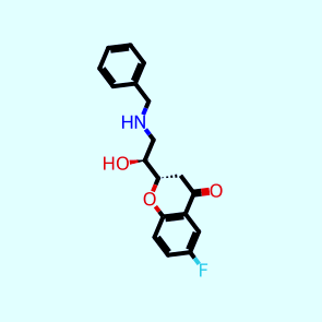 O=C1C[C@@H]([C@@H](O)CNCc2ccccc2)Oc2ccc(F)cc21